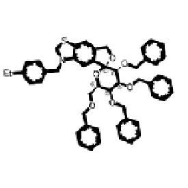 CCc1ccc(CN2CSc3cc4c(cc32)[C@]2(OC4)O[C@H](COCc3ccccc3)[C@H](OCc3ccccc3)[C@H](OCc3ccccc3)[C@H]2OCc2ccccc2)cc1